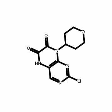 O=c1[nH]c2cnc(Cl)nc2n(C2CCOCC2)c1=O